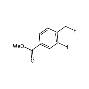 COC(=O)c1ccc(CF)c(I)c1